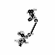 C#Cc1c(F)ccc2cc(O)cc(-c3ncc4c(N5CC6CCC(C5)N6)nc(OC5CCN(CCCCCCCCCCC(=O)N6CCN(C(=O)C[C@H](NC(=O)[C@@H]7C[C@@H](O)CN7C(=O)C(NC(=O)C7(F)CC7)C(C)(C)C)c7ccc(-c8scnc8C)cc7)CC6)CC5)nc4c3F)c12